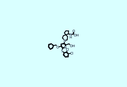 O=C(O)NC1CCCC12CCN(c1cc(OCc3ccccc3)c(Sc3cccc(Cl)c3Cl)nc1CO)CC2